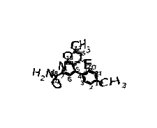 Cc1ccc(-c2cc(C(N)=O)nc3c2CC[C@H](C)O3)c(F)c1